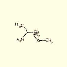 CO[SiH2]C(C)N